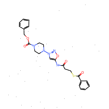 O=C(CCSC(=O)c1ccccc1)[N-]c1c[n+](N2CCN(C(=O)OCc3ccccc3)CC2)no1